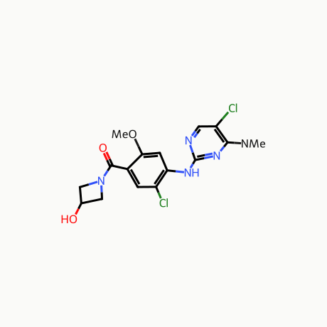 CNc1nc(Nc2cc(OC)c(C(=O)N3CC(O)C3)cc2Cl)ncc1Cl